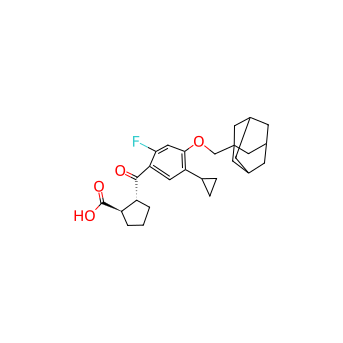 O=C(O)[C@@H]1CCC[C@H]1C(=O)c1cc(C2CC2)c(OCC23CC4CC(CC(C4)C2)C3)cc1F